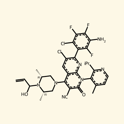 C=CC(O)N1[C@H](C)CN(c2c(C#N)c(=O)n(-c3c(C)ccnc3C(C)C)c3nc(-c4c(F)c(N)c(F)c(F)c4Cl)c(Cl)cc23)C[C@@H]1C